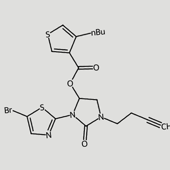 C#CCCN1CC(OC(=O)c2cscc2CCCC)N(c2ncc(Br)s2)C1=O